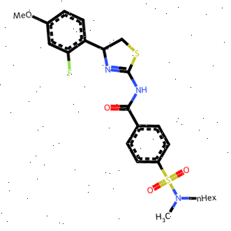 CCCCCCN(C)S(=O)(=O)c1ccc(C(=O)NC2=NC(c3ccc(OC)cc3F)CS2)cc1